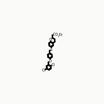 CCOC(=O)CC1CCc2cc(SCc3ccc(OCc4cc(Cl)ccc4Cl)cc3)ccc2O1